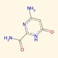 NC(=O)c1nc(N)cc(=O)[nH]1